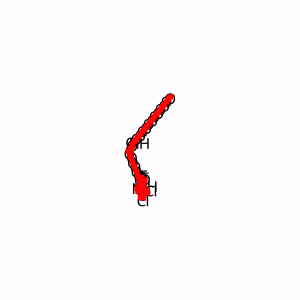 COCCOCCOCCOCCOCCOCCOCCOCCOCCOCCOCCOCCNC(=O)OCc1ccc(OCCOCCOCCOCCOCCOCCOC2CC(Nc3ccnc4ccc(C(c5ccc(Cl)cc5)c5ccc(Cl)cc5)cc34)CCN2S(=O)(=O)C(F)(F)F)cc1